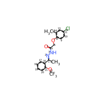 C/C(=N\NC(=O)COc1ccc(Cl)cc1C)c1ccccc1OC(F)(F)F